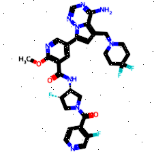 COc1ncc(-c2cc(CN3CCC(F)(F)CC3)c3c(N)ncnn23)cc1C(=O)N[C@@H]1CN(C(=O)c2ccncc2F)C[C@@H]1F